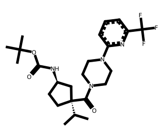 CC(C)[C@]1(C(=O)N2CCN(c3cccc(C(F)(F)F)n3)CC2)CC[C@@H](NC(=O)OC(C)(C)C)C1